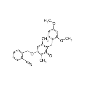 COc1ccc(Cn2c(C)cc(OCc3ccccc3C#N)c(C)c2=O)c(OC)c1